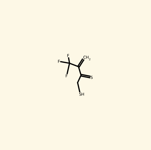 C=C(C(=S)CS)C(F)(F)F